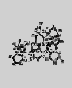 Cc1ccc([C](c2ccc(C)cc2)=[Zr]([C]2=CC=CC2)[c]2c3c(cc(C(C)(C)C)c2-c2ccccc2)-c2cc(C(C)(C)C)c(-c4ccccc4)cc2C3)cc1